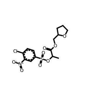 CC(OS(=O)(=O)c1ccc(Cl)c([N+](=O)[O-])c1)C(=O)OCC1CCCO1